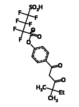 CCC(C)(C)C(=O)CC(=O)c1ccc(OS(=O)(=O)C(F)(F)C(F)(F)C(F)(F)S(=O)(=O)O)cc1